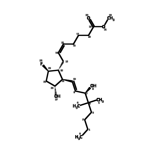 CCCCC(C)(C)[C@H](O)/C=C/[C@@H]1[C@@H](C/C=C\CCCC(=O)OC)[C@H](F)C[C@H]1O